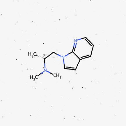 C[C@H](Cn1ccc2cccnc21)N(C)C